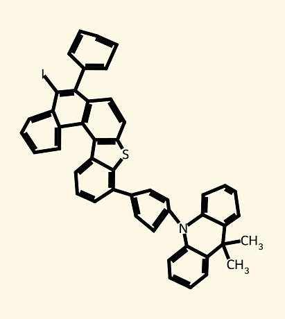 CC1(C)c2ccccc2N(c2ccc(-c3cccc4c3sc3ccc5c(-c6ccccc6)c(I)c6ccccc6c5c34)cc2)c2ccccc21